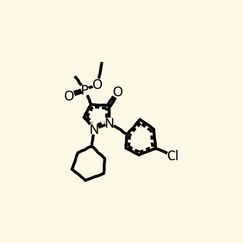 COP(C)(=O)c1cn(C2CCCCC2)n(-c2ccc(Cl)cc2)c1=O